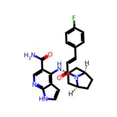 NC(=O)c1cnc2[nH]ccc2c1N[C@@H]1C[C@H]2CC[C@@H](C1)N2C(=O)/C=C/c1ccc(F)cc1